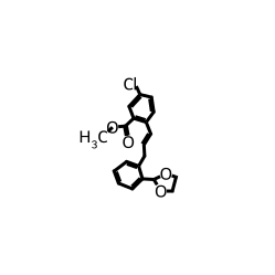 COC(=O)c1cc(Cl)ccc1C=CCc1ccccc1C1OCCO1